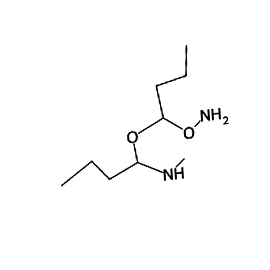 CCCC(NC)OC(CCC)ON